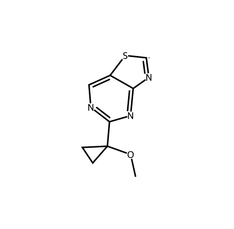 COC1(c2ncc3s[c]nc3n2)CC1